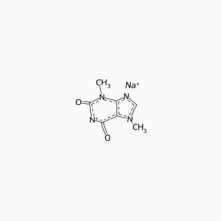 Cn1cnc2c1c(=O)[n-]c(=O)n2C.[Na+]